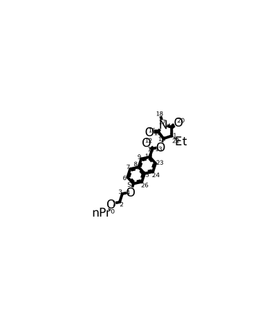 CCCOCCOc1ccc2cc(C(=O)O[C@H]3C(=O)N(C)C(=O)[C@@H]3CC)ccc2c1